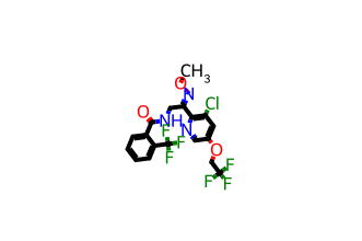 CO/N=C(\CNC(=O)c1ccccc1C(F)(F)F)c1ncc(OCC(F)(F)F)cc1Cl